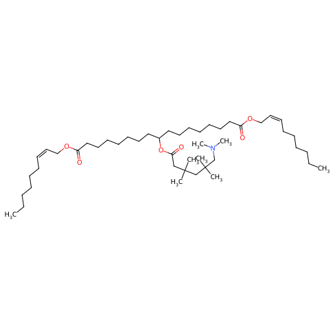 CCCCCC/C=C\COC(=O)CCCCCCCC(CCCCCCCC(=O)OC/C=C\CCCCCC)OC(=O)CC(C)(C)CC(C)(C)CN(C)C